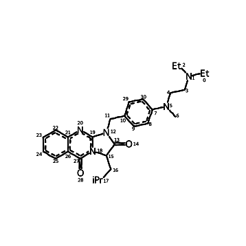 CCN(CC)CCN(C)c1ccc(CN2C(=O)C(CC(C)C)n3c2nc2ccccc2c3=O)cc1